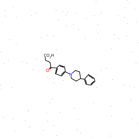 O=C(O)CCC(=O)c1ccc(N2CCC(c3ccccc3)CC2)cc1